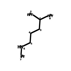 CCCC(CCC)CCCNC(C)C